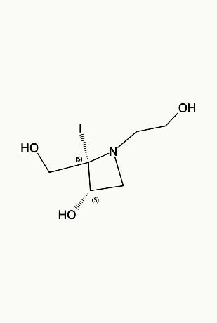 OCCN1C[C@H](O)[C@@]1(I)CO